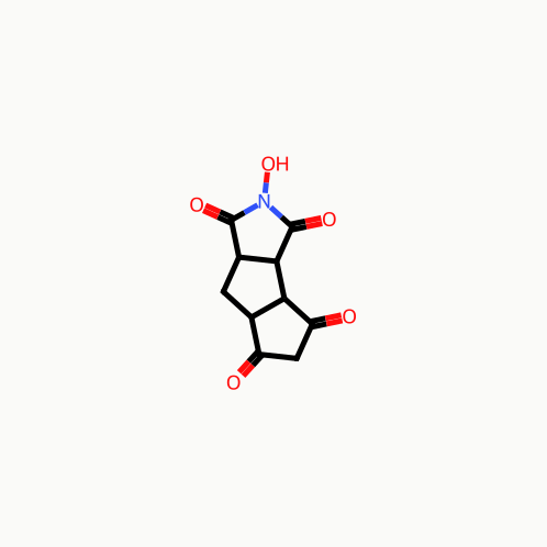 O=C1CC(=O)C2C1CC1C(=O)N(O)C(=O)C12